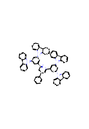 C1=CC2c3ccccc3N(c3cc(-c4cc(-c5ccccc5)cc(-c5cc(-n6c7ccccc7c7ccccc76)cc(-n6c7ccccc7c7ccccc76)c5)n4)cc(-n4c5ccccc5c5ccccc54)c3)C2C=C1